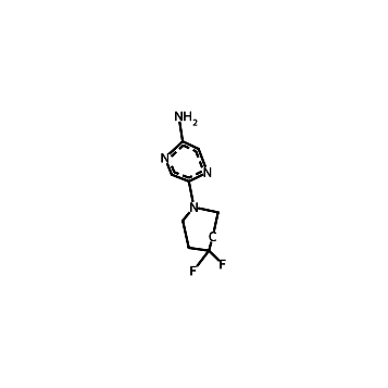 Nc1cnc(N2CCC(F)(F)CC2)cn1